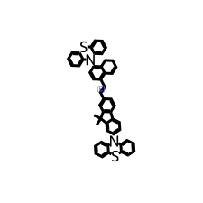 CC1(C)c2cc(/C=C/c3ccc(N4c5ccccc5Sc5ccccc54)c4c3C=CCC4)ccc2-c2ccc(N3c4ccccc4Sc4ccccc43)cc21